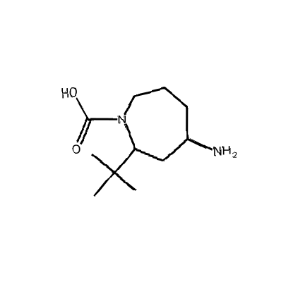 CC(C)(C)C1CC(N)CCCN1C(=O)O